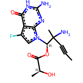 CC#CC(C)(N)[C@@H](OC(=O)[C@H](C)O)n1cc(F)c2c(=O)[nH]c(N)nc21